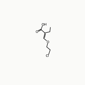 CC/C(=C\OCCCl)C(=O)O